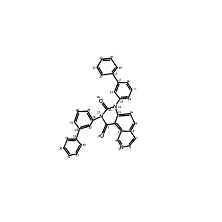 O=c1c2c3cnccc3ccc2n(-c2cccc(-c3ccccc3)c2)c(=O)n1-c1cccc(-c2ccccc2)c1